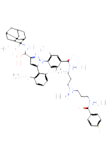 COc1cccc(OC)c1-c1cc(C(O)NC2(C(=O)O)C3CC4CC(C3)CC2C4)nn1-c1ccc(C(=O)N(C)CCCN(C)CCCN(C)C(=O)c2ccc(F)cc2)cc1C(C)C